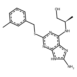 Cc1cccc(CSc2nc(N[C@H](C)CO)c3nc(N)[nH]c3n2)c1